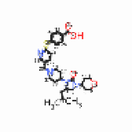 CC(C)CC1CN(C2CCOCC2)C(=O)N1C1CCN(Cc2ccc(Sc3ccc(C(=O)O)cc3)nc2)CC1